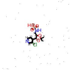 CC1(C)OC(CNS(=O)(=O)O)C(c2ccncc2Cl)O1